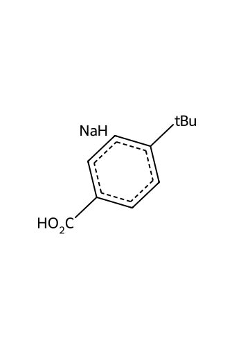 CC(C)(C)c1ccc(C(=O)O)cc1.[NaH]